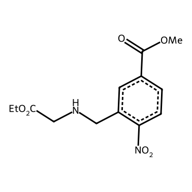 CCOC(=O)CNCc1cc(C(=O)OC)ccc1[N+](=O)[O-]